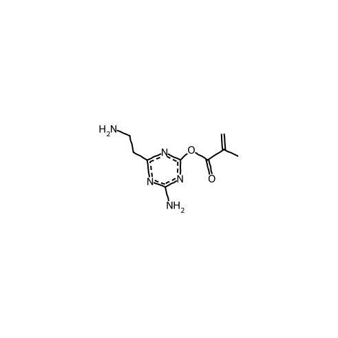 C=C(C)C(=O)Oc1nc(N)nc(CCN)n1